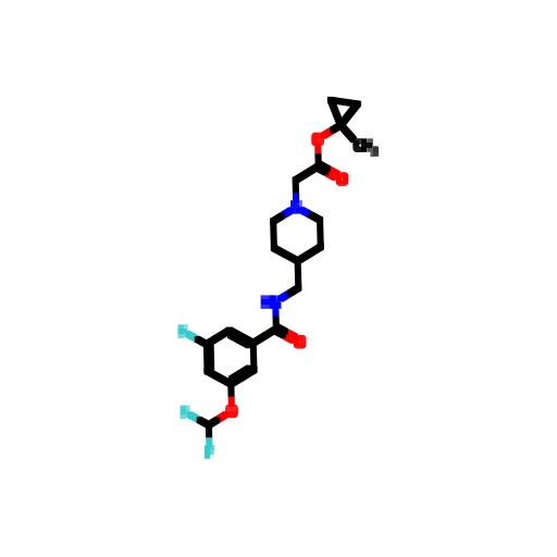 CC1(OC(=O)CN2CCC(CNC(=O)c3cc(F)cc(OC(F)F)c3)CC2)CC1